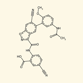 COc1ccc(NC(C)=O)cc1-c1cc2c(C(=O)Nc3ccc(C#N)cc3C(=O)O)noc2cc1C#N